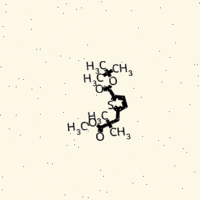 COC(=O)C(C)(C)Cc1ccc(C(=O)OC(C)(C)C)s1